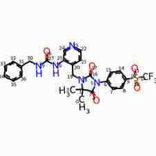 CC1(C)C(=O)N(c2ccc(S(=O)(=O)C(F)(F)F)cc2)C(=O)N1Cc1ccncc1NC(=O)NCc1ccccc1